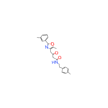 Cc1ccc(CCNC(=O)CC(=O)Cc2nc(-c3cccc(C)c3)oc2C)cc1